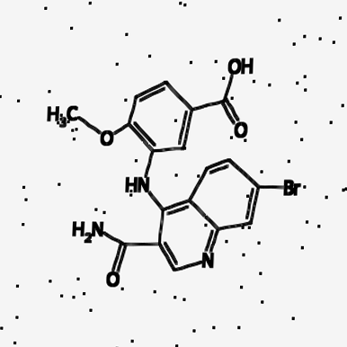 COc1ccc(C(=O)O)cc1Nc1c(C(N)=O)cnc2cc(Br)ccc12